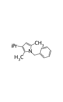 Cc1cc(C(C)C)c(C)n1Cc1ccccc1